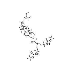 CC[C@H](CC[C@@H](C)[C@H]1CC[C@H]2[C@@H]3CC=C4C[C@@H](OC(=O)N(CCC(C)(C)NC(=O)OC(C)(C)C)CCC(C)(C)NC(=O)OC(C)(C)C)CC[C@]4(C)[C@H]3CC[C@]12C)C(C)C